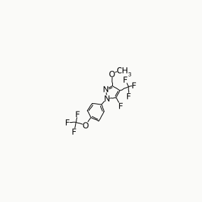 COc1nn(-c2ccc(OC(F)(F)F)cc2)c(F)c1C(F)(F)F